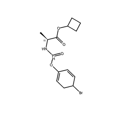 C[C@H](N[PH](=O)OC1=CCC(Br)C=C1)C(=O)OC1CCC1